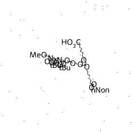 CCCCCCCCCOC(=O)CCCCCCCOC(COCCCCCCCC(=O)O)COCCOCCOC(=O)CN(CC(=O)CN(CCOC)C(=O)OC(C)(C)C)C(=O)OC(C)(C)C